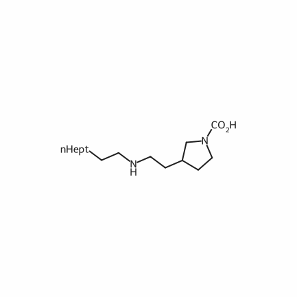 CCCCCCCCCNCCC1CCN(C(=O)O)C1